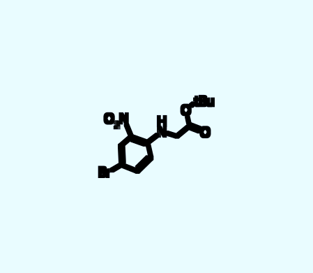 CC(C)(C)OC(=O)CNc1ccc(Br)cc1[N+](=O)[O-]